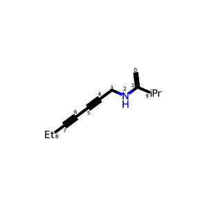 C=C(NCC#CC#CCC)C(C)C